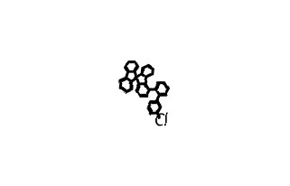 Clc1cccc(-c2ccccc2-c2cccc3c2-c2ccccc2C32c3ccccc3-c3ccccc32)c1